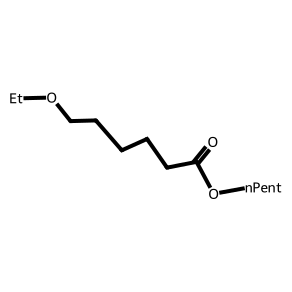 CCCCCOC(=O)CCCCCOCC